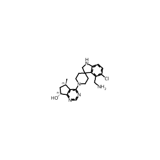 C[C@@H]1C[C@@H](O)c2ncnc(N3CCC4(CC3)CNc3ccc(Cl)c(CN)c34)c21